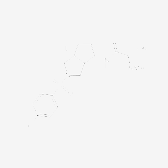 CCC(C)[C@H](NC)C(=O)N[C@H]1CC[C@@H]2CN(S(=O)(=O)c3ccc(C(F)(F)F)cc3)C[C@@H]21